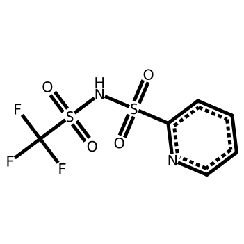 O=S(=O)(NS(=O)(=O)C(F)(F)F)c1ccccn1